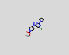 CC(C)(C)OC(=O)N1CCC(Nc2cc(Cl)nc(N3CCCC3)n2)CC1